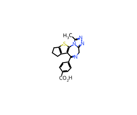 Cc1nnc2n1-c1sc3c(c1C(c1ccc(C(=O)O)cc1)=NC2)CCC3